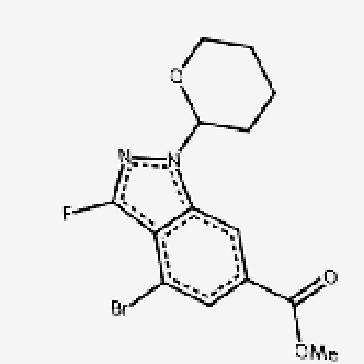 COC(=O)c1cc(Br)c2c(F)nn(C3CCCCO3)c2c1